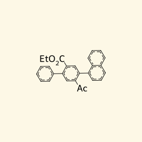 CCOC(=O)c1cc(-c2cccc3ccccc23)c(C(C)=O)cc1-c1ccccc1